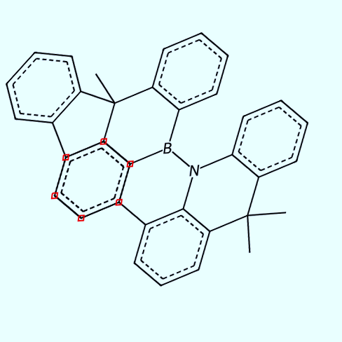 CC1(C)c2ccccc2N(B2c3ccccc3C3(C)c4ccccc4-c4cccc2c43)c2c(-c3ccccc3)cccc21